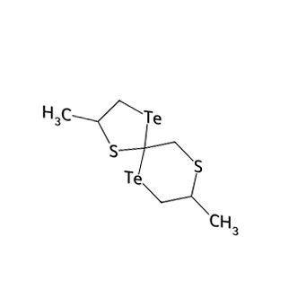 CC1C[Te]C2(CS1)SC(C)C[Te]2